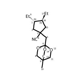 CC[C@H]1CC(C#N)(CC23OCC(C)(CO2)CO3)C[C@@H]1CC